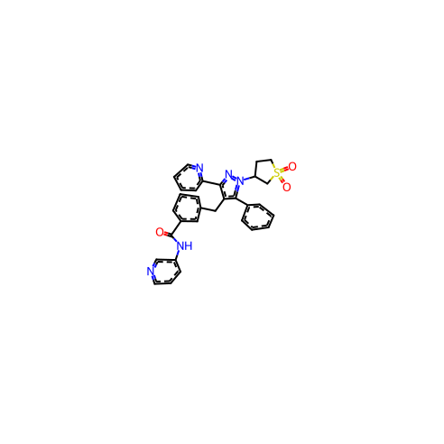 O=C(Nc1cccnc1)c1cccc(Cc2c(-c3ccccn3)nn(C3CCS(=O)(=O)C3)c2-c2ccccc2)c1